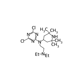 CCN(CC)CCN(c1nc(Cl)nc(Cl)n1)C1CC(C)(C)NC(C)(C)C1